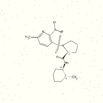 CCN(c1nc(C)ccc1S(=O)(=O)N1CCC[C@H]1C(=O)N[C@@H]1CCCC[C@H]1C)C(C)C